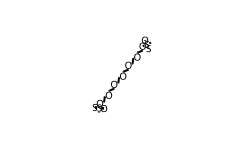 CS(=O)(=S)OCCOCCOCCOCCOCCOCCOS(C)(=O)=S